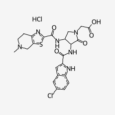 CN1CCc2nc(C(=O)NC3CN(CC(=O)O)C(=O)C3NC(=O)c3cc4cc(Cl)ccc4[nH]3)sc2C1.Cl